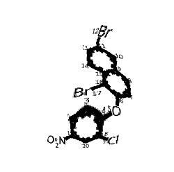 O=[N+]([O-])c1ccc(Oc2ccc3cc(Br)ccc3c2Br)c(Cl)c1